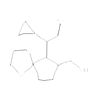 CCC(C1CC1)C1C(CO)CCC12OCCO2